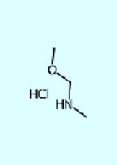 CNCOC.Cl